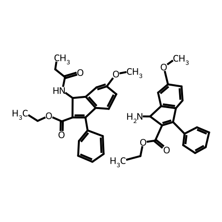 CCOC(=O)C1=C(c2ccccc2)c2ccc(OC)cc2C1N.CCOC(=O)C1=C(c2ccccc2)c2ccc(OC)cc2C1NC(=O)CC